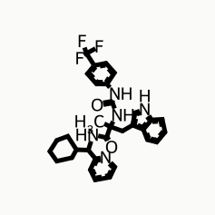 CC(Cc1c[nH]c2ccccc12)(NC(=O)Nc1ccc(C(F)(F)F)cc1)C(=O)NC(c1ccccn1)C1CCCCC1